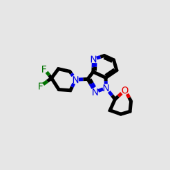 FC1(F)CCN(c2nn(C3CCCCO3)c3cccnc23)CC1